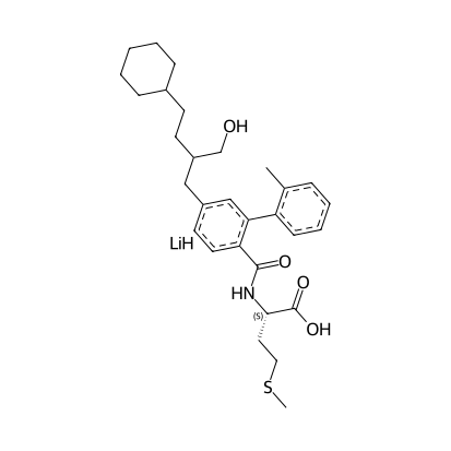 CSCC[C@H](NC(=O)c1ccc(CC(CO)CCC2CCCCC2)cc1-c1ccccc1C)C(=O)O.[LiH]